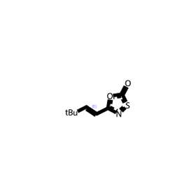 CC(C)(C)/C=C/c1nsc(=O)o1